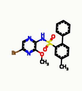 COc1nc(Br)cnc1NS(=O)(=O)c1cc(C)ccc1-c1ccccc1